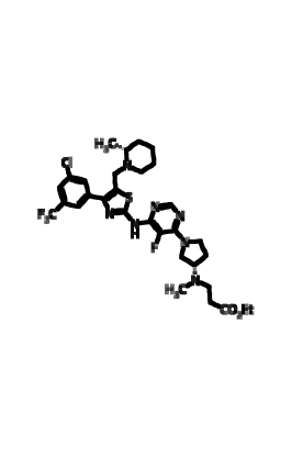 CCOC(=O)CCN(C)[C@H]1CCN(c2ncnc(Nc3nc(-c4cc(Cl)cc(C(F)(F)F)c4)c(CN4CCCC[C@H]4C)s3)c2F)C1